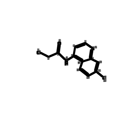 O=C(CCl)Nc1ccnc2cc(Cl)ccc12